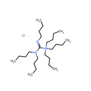 CCCCN=C(N(CCCC)CCCC)[N+](CCCC)(CCCC)CCCC.[Cl-]